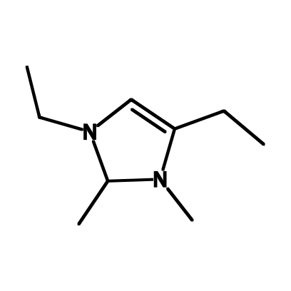 CCC1=CN(CC)C(C)N1C